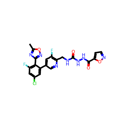 Cc1nc(-c2c(F)cc(Cl)cc2-c2cnc(CNC(=O)NNC(=O)c3ccno3)c(F)c2)no1